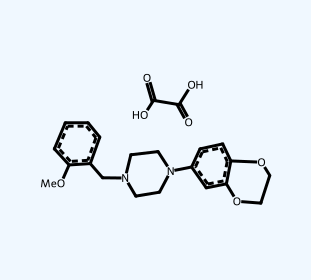 COc1ccccc1CN1CCN(c2ccc3c(c2)OCCO3)CC1.O=C(O)C(=O)O